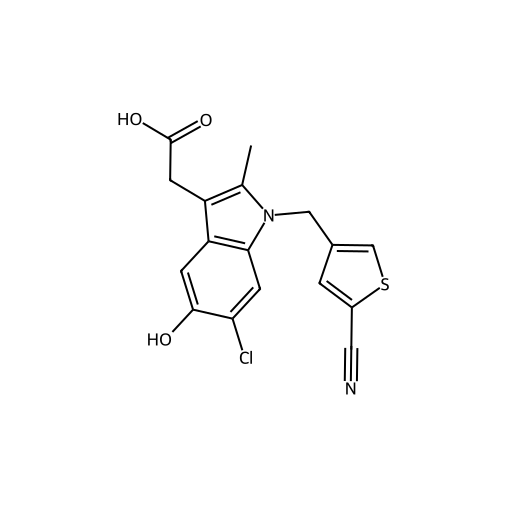 Cc1c(CC(=O)O)c2cc(O)c(Cl)cc2n1Cc1csc(C#N)c1